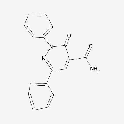 NC(=O)c1cc(-c2ccccc2)nn(-c2ccccc2)c1=O